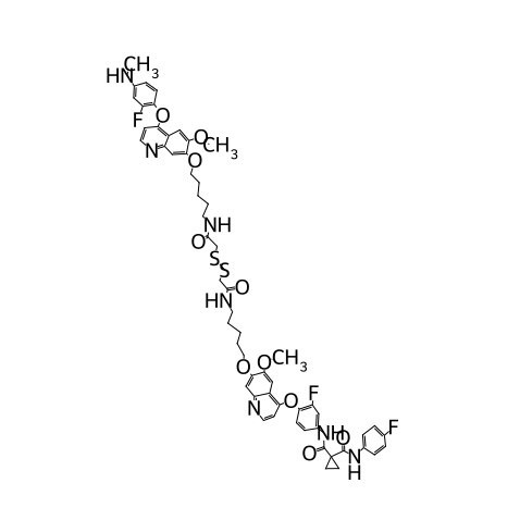 CNc1ccc(Oc2ccnc3cc(OCCCCCNC(=O)CSSCC(=O)NCCCCCOc4cc5nccc(Oc6ccc(NC(=O)C7(C(=O)Nc8ccc(F)cc8)CC7)cc6F)c5cc4OC)c(OC)cc23)c(F)c1